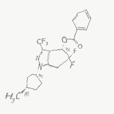 C[C@@H]1CC[C@@H](n2nc(C(F)(F)F)c3c2CC(F)(F)[C@H]3OC(=O)c2ccccc2)C1